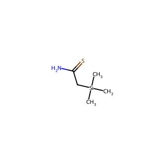 C[Si](C)(C)CC(N)=S